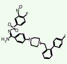 N/C(=N/S(=O)(=O)c1ccc(F)c(N=O)c1)c1ccc(N2CCN(Cc3ccccc3-c3ccc(I)cc3)CC2)cc1